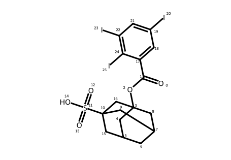 O=C(OC12CC3CC(C1)CC(S(=O)(=O)O)(C3)C2)c1cc(I)cc(I)c1I